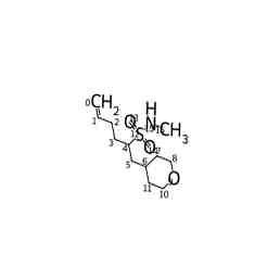 C=CCCC(CC1CCOCC1)S(=O)(=O)NC